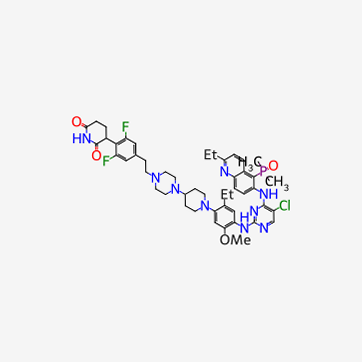 CCc1ccc2c(P(C)(C)=O)c(Nc3nc(Nc4cc(CC)c(N5CCC(N6CCN(CCc7cc(F)c(C8CCC(=O)NC8=O)c(F)c7)CC6)CC5)cc4OC)ncc3Cl)ccc2n1